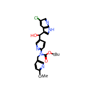 COc1ccc(CN(C(=O)OC(C)(C)C)c2ccc(C(O)c3c[nH]c4ncc(Cl)cc34)cn2)cn1